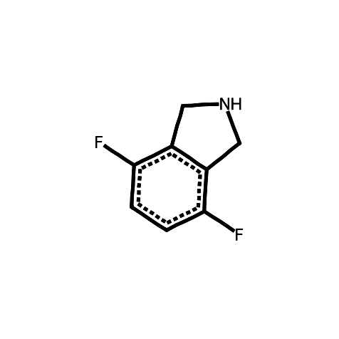 Fc1ccc(F)c2c1CNC2